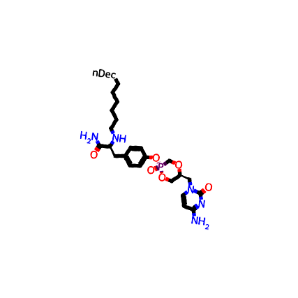 CCCCCCCCCCCCCCCCN[C@@H](Cc1ccc(OP2(=O)CO[C@@H](Cn3ccc(N)nc3=O)CO2)cc1)C(N)=O